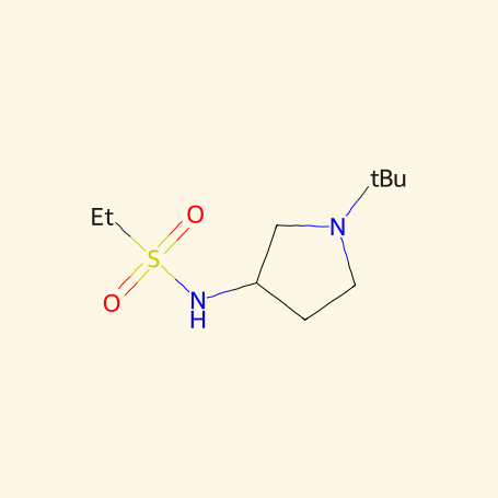 CCS(=O)(=O)NC1CCN(C(C)(C)C)C1